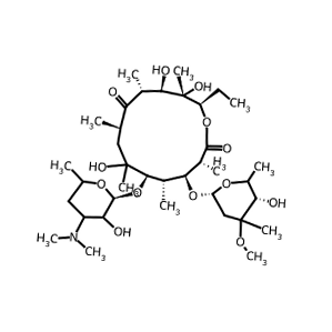 CC[C@H]1OC(=O)[C@H](C)[C@@H](O[C@H]2CC(C)(OC)[C@@H](O)C(C)O2)[C@H](C)[C@@H](O[C@@H]2OC(C)CC(N(C)C)C2O)C(C)(O)C[C@@H](C)C(=O)[C@H](C)[C@@H](O)[C@]1(C)O